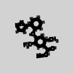 COC(=O)c1cc(C(F)(F)F)c(Oc2ccccc2-n2ccnn2)cc1C